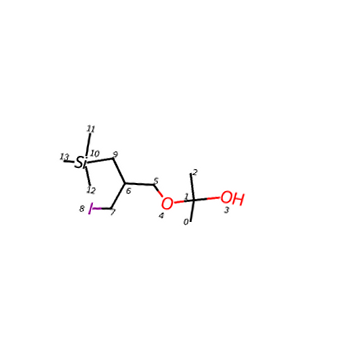 CC(C)(O)OCC(CI)C[Si](C)(C)C